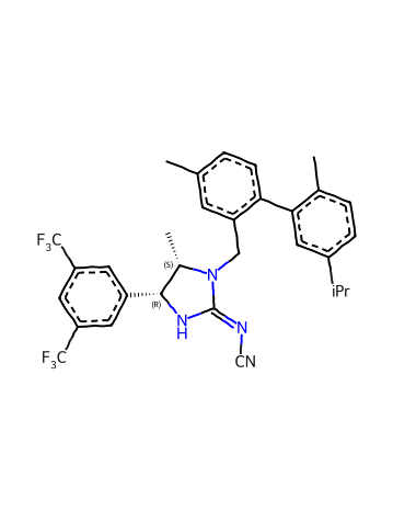 Cc1ccc(-c2cc(C(C)C)ccc2C)c(CN2C(=NC#N)N[C@H](c3cc(C(F)(F)F)cc(C(F)(F)F)c3)[C@@H]2C)c1